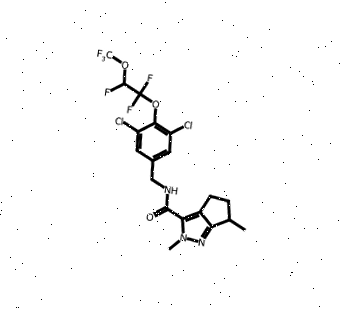 CC1CCc2c1nn(C)c2C(=O)NCc1cc(Cl)c(OC(F)(F)C(F)OC(F)(F)F)c(Cl)c1